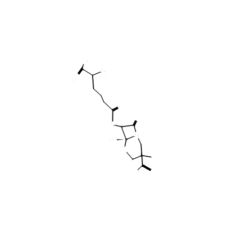 CC1(C(=O)O)CS[C@@H]2C(NC(=O)CCCC(N)C(=O)O)C(=O)N2C1